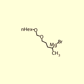 CCCCCCOCOCCC[CH](C)[Mg][Br]